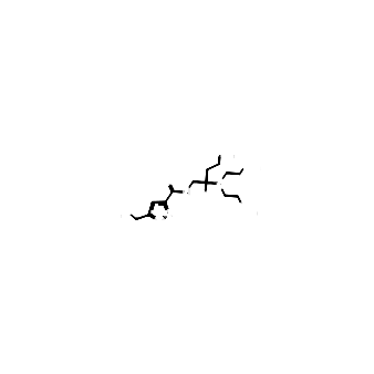 CCCN(CCC)C(C)(CCC)CNC(=O)c1cc(CC)on1